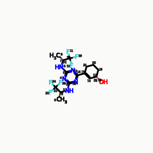 C[C@@H](Nc1nc(N[C@H](C)C(F)(F)F)nc(C2=C[C@@H](O)CCC2)n1)C(F)(F)F